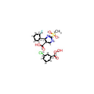 CS(=O)(=O)c1ncc(C(=O)O)c(-c2ccccc2F)n1.O=C(OO)c1cccc(Cl)c1